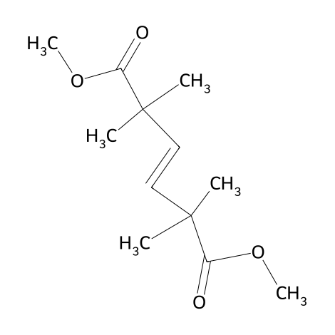 COC(=O)C(C)(C)/C=C/C(C)(C)C(=O)OC